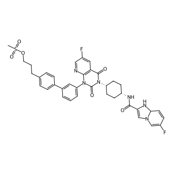 CS(=O)(=O)OCCCc1ccc(-c2cccc(-n3c(=O)n([C@H]4CC[C@@H](NC(=O)C5=CN6C=C(F)C=CC6N5)CC4)c(=O)c4cc(F)cnc43)c2)cc1